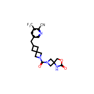 N#Cc1ncc(CC2CC3(C2)CN(C(=O)N2CC4(COC(=O)N4)C2)C3)cc1C(F)(F)F